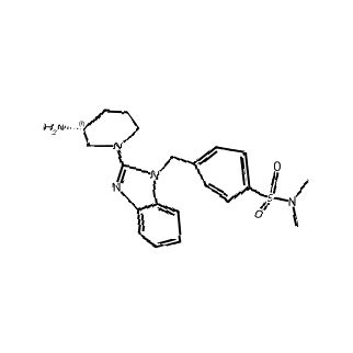 CN(C)S(=O)(=O)c1ccc(Cn2c(N3CCC[C@@H](N)C3)nc3ccccc32)cc1